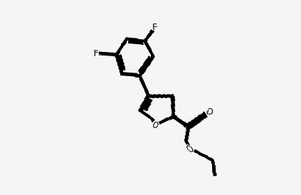 CCOC(=O)C1CC(c2cc(F)cc(F)c2)=CO1